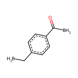 BCc1ccc(C(B)=O)cc1